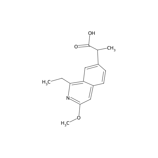 CCc1nc(OC)cc2ccc(C(C)C(=O)O)cc12